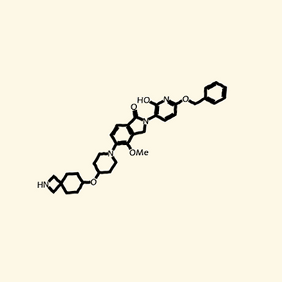 COc1c(N2CCC(OC3CCC4(CC3)CNC4)CC2)ccc2c1CN(c1ccc(OCc3ccccc3)nc1O)C2=O